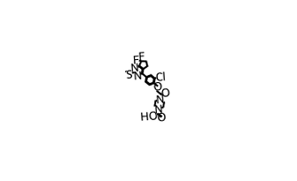 CSc1nc(-c2ccc(OCC(=O)N3CCN(C(=O)O)CC3)c(Cl)c2)c2c(n1)C(F)(F)CC2